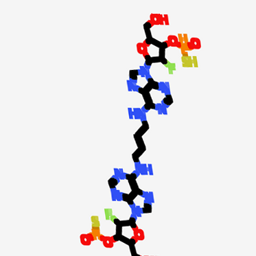 O=P(=S)OC1C(CO)OC(n2cnc3c(NC/C=C/CNc4ncnc5c4ncn5C4OC(CO)C(O[PH](=O)S)C4F)ncnc32)C1F